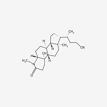 C[C@H](CCC#N)[C@H]1CC[C@H]2[C@@H]3CC[C@H]4N(C)C(=O)CC[C@]4(C)[C@H]3CC[C@]12C